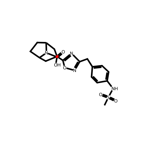 CS(=O)(=O)Nc1ccc(Cc2noc(C3CC4CCC(C3)N4C(=O)O)n2)cc1